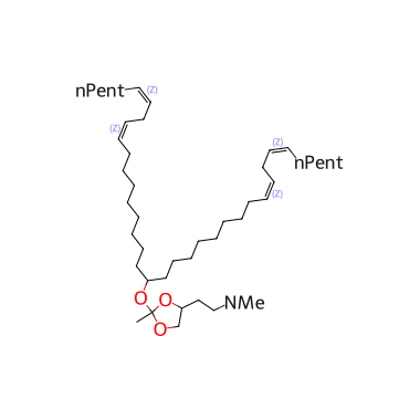 CCCCC/C=C\C/C=C\CCCCCCCCC(CCCCCCCC/C=C\C/C=C\CCCCC)OC1(C)OCC(CCNC)O1